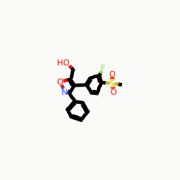 CS(=O)(=O)c1ccc(-c2c(-c3ccccc3)noc2CO)cc1F